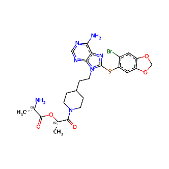 C[C@H](N)C(=O)O[C@@H](C)C(=O)N1CCC(CCn2c(Sc3cc4c(cc3Br)OCO4)nc3c(N)ncnc32)CC1